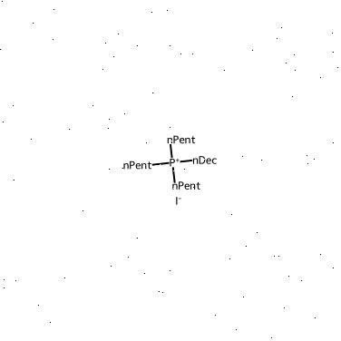 CCCCCCCCCC[P+](CCCCC)(CCCCC)CCCCC.[I-]